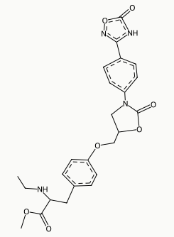 CCNC(Cc1ccc(OCC2CN(c3ccc(-c4noc(=O)[nH]4)cc3)C(=O)O2)cc1)C(=O)OC